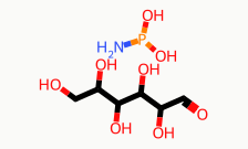 NP(O)O.O=CC(O)C(O)C(O)C(O)CO